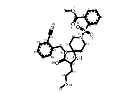 COC(=O)c1ccccc1S(=O)(=O)N1CCC2(CC1)NC(CCSC)C(=O)N2Cc1ccccc1C#N